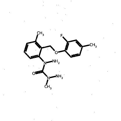 Cc1ccc(OCc2c(C)cccc2N(N)C(=O)N(C)N)c(F)c1